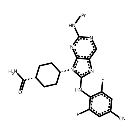 CC(C)Nc1ncc2nc(Nc3c(F)cc(C#N)cc3F)n([C@H]3CC[C@@H](C(N)=O)CC3)c2n1